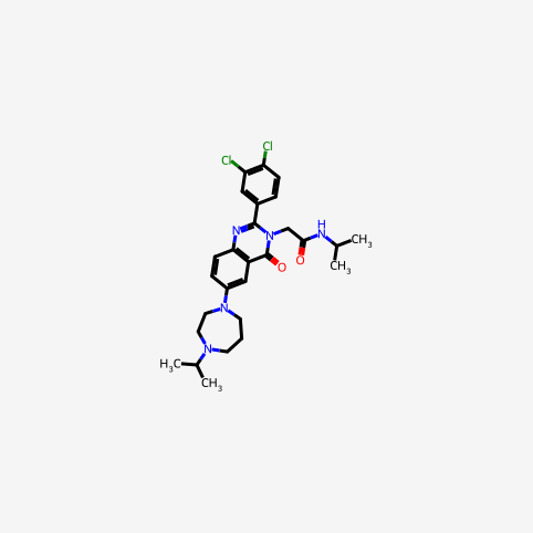 CC(C)NC(=O)Cn1c(-c2ccc(Cl)c(Cl)c2)nc2ccc(N3CCCN(C(C)C)CC3)cc2c1=O